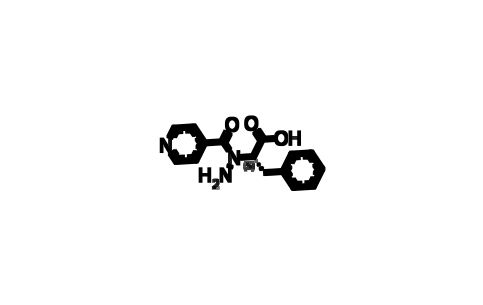 NN(C(=O)c1ccncc1)[C@@H](Cc1ccccc1)C(=O)O